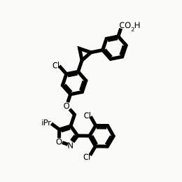 CC(C)c1onc(-c2c(Cl)cccc2Cl)c1COc1ccc(C2CC2c2cccc(C(=O)O)c2)c(Cl)c1